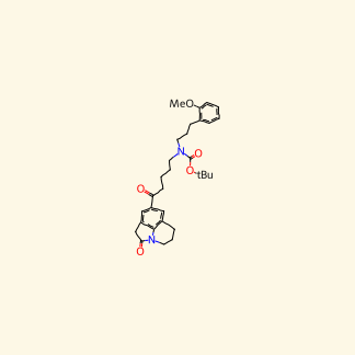 COc1ccccc1CCCN(CCCCC(=O)c1cc2c3c(c1)CC(=O)N3CCC2)C(=O)OC(C)(C)C